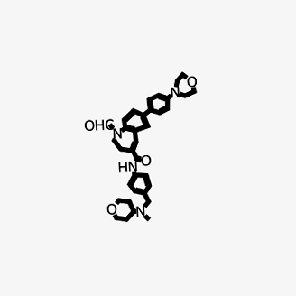 CN(Cc1ccc(NC(=O)C2=Cc3cc(-c4ccc(N5CCOCC5)cc4)ccc3N(C=O)CC2)cc1)C1CCOCC1